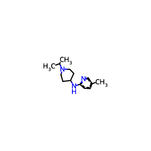 Cc1ccc(NC2CCN(C(C)C)CC2)nc1